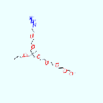 C=CCOCC(C)(COCCOCCN=[N+]=[N-])COCCOCCOCCOCOC